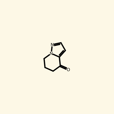 O=C1CCCn2nccc21